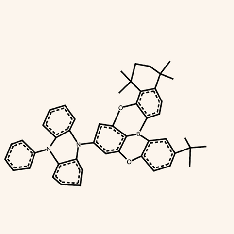 CC(C)(C)c1ccc2c(c1)B1c3ccc4c(c3Oc3cc(N5c6ccccc6N(c6ccccc6)c6ccccc65)cc(c31)O2)C(C)(C)CCC4(C)C